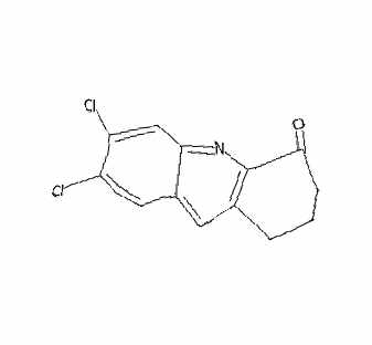 O=C1CCCc2cc3cc(Cl)c(Cl)cc3nc21